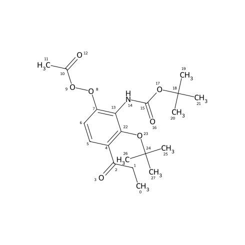 CCC(=O)c1ccc(OOC(C)=O)c(NC(=O)OC(C)(C)C)c1OC(C)(C)C